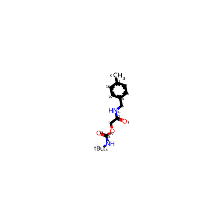 Cc1ccc(CNC(=O)COC(=O)NC(C)(C)C)cc1